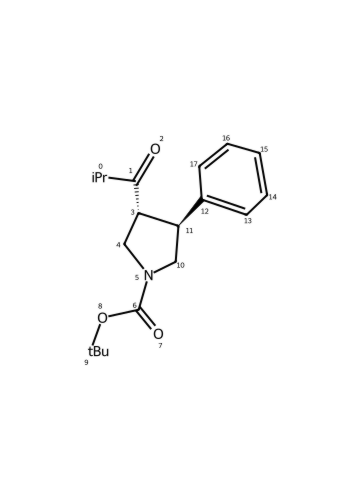 CC(C)C(=O)[C@H]1CN(C(=O)OC(C)(C)C)C[C@@H]1c1ccccc1